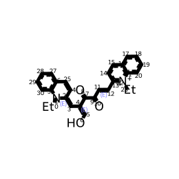 CCN1/C(=C/C(=C\O)C(=O)C(=O)/C=C/c2ccc3ccccc3[n+]2CC)C=Cc2ccccc21